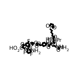 CC(C)[C@H](NC(=O)CCCCCN1C(=O)C=CC1=O)C(=O)N[C@@H](CCCNC(N)=O)C(=O)Nc1ccc(COC(=O)OC2CN(c3c(F)cc4c(=O)c(C(=O)O)cn(-c5nc(N)c(F)cc5F)c4c3Cl)C2)cc1